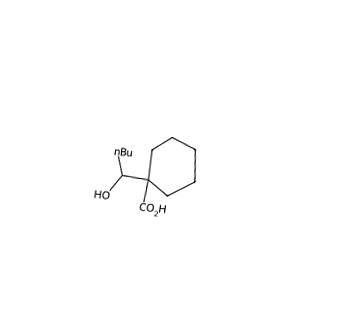 CCCCC(O)C1(C(=O)O)CCCCC1